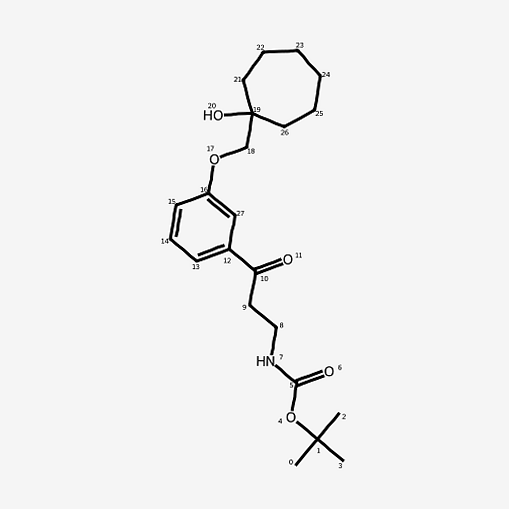 CC(C)(C)OC(=O)NCCC(=O)c1cccc(OCC2(O)CCCCCC2)c1